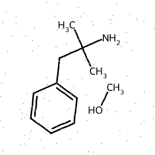 CC(C)(N)Cc1ccccc1.CO